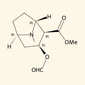 COC(=O)[C@H]1[C@@H](OC=O)C[C@H]2CC[C@H]1N2C